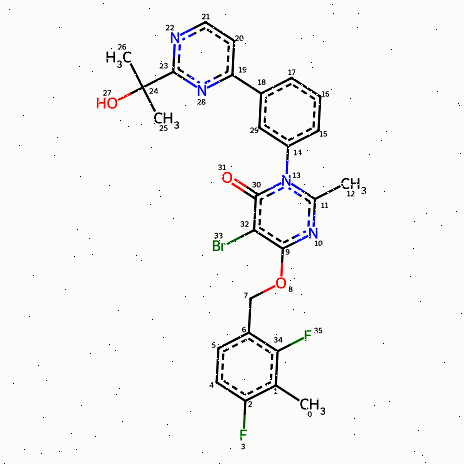 Cc1c(F)ccc(COc2nc(C)n(-c3cccc(-c4ccnc(C(C)(C)O)n4)c3)c(=O)c2Br)c1F